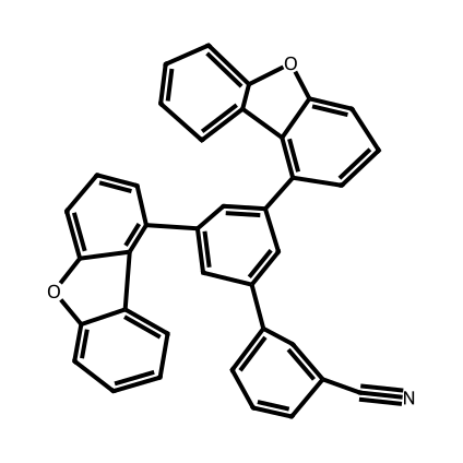 N#Cc1cccc(-c2cc(-c3cccc4oc5ccccc5c34)cc(-c3cccc4oc5ccccc5c34)c2)c1